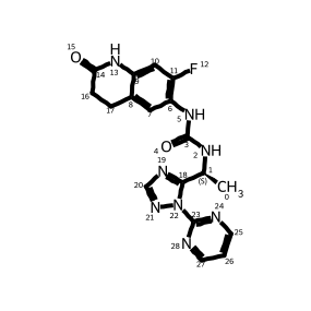 C[C@H](NC(=O)Nc1cc2c(cc1F)NC(=O)CC2)c1ncnn1-c1ncccn1